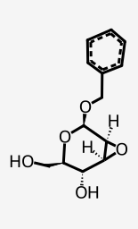 OC[C@H]1O[C@@H](OCc2ccccc2)[C@H]2O[C@H]2[C@@H]1O